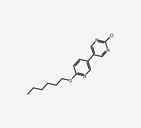 CCCCCCOc1ccc(-c2cnc(Cl)nc2)cn1